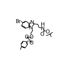 Cc1ccc(S(=O)(=O)OCCn2c(CCNC(=O)OC(C)(C)C)nc3cc(Br)ccc32)cc1